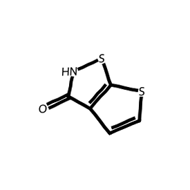 O=c1[nH]sc2sccc12